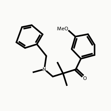 COc1cccc(C(=O)C(C)(C)CN(C)Cc2ccccc2)c1